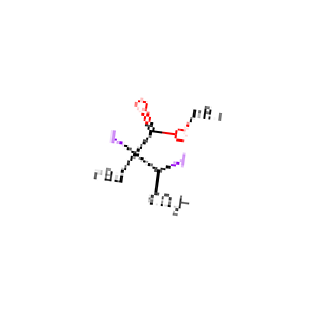 CCCCOC(=O)C(I)(CCCC)C(I)C(=O)O